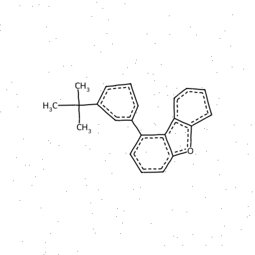 CC(C)(C)c1cccc(-c2cccc3oc4ccccc4c23)c1